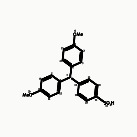 COc1ccc(P(c2ccc(OC)cc2)c2ccc(S(=O)(=O)O)cc2)cc1